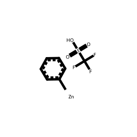 Cc1ccccc1.O=S(=O)(O)C(F)(F)F.[Zn]